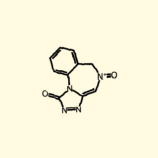 O=C1N=NC2=C[N+](=O)Cc3ccccc3N12